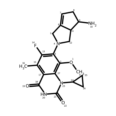 COc1c(N2CC3=CCC(N)C3C2)c(F)c(C)c2c(=O)[nH]c(=O)n(C3CC3)c12